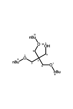 CCCCOCC(CO)(COCCCC)COCCCC